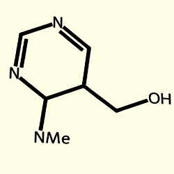 CNC1N=CN=CC1CO